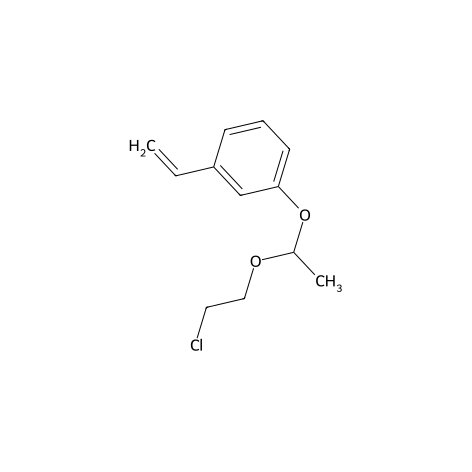 C=Cc1cccc(OC(C)OCCCl)c1